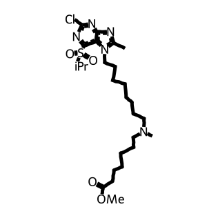 COC(=O)CCCCCCN(C)CCCCCCCCn1c(C)nc2nc(Cl)nc(S(=O)(=O)C(C)C)c21